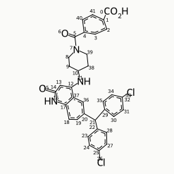 O=C(O)c1ccc(C(=O)N2CCC(Nc3cc(=O)[nH]c4ccc(C(c5ccc(Cl)cc5)c5ccc(Cl)cc5)cc34)CC2)cc1